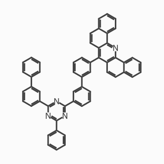 c1ccc(-c2cccc(-c3nc(-c4ccccc4)nc(-c4cccc(-c5cccc(-c6c7ccc8ccccc8c7nc7c6ccc6ccccc67)c5)c4)n3)c2)cc1